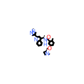 Cc1ccc(OC[C@@H]2CCN2C)cc1C(=O)N[C@H](C)c1cc(-c2cnn(C)c2)nc2ccccc12